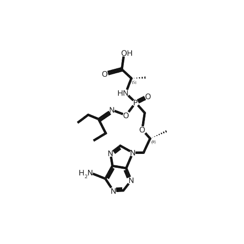 CCC(CC)=NOP(=O)(CO[C@H](C)Cn1cnc2c(N)ncnc21)N[C@@H](C)C(=O)O